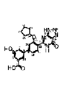 O=C(O)c1cc(O)cc(-c2ccc(-c3nc4[nH]nnc4c(=O)[nH]3)c(OC3CCCC3)c2)c1